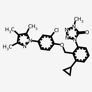 Cc1nn(-c2ccc(OCc3c(C4CC4)cccc3-n3nnn(C)c3=O)c(Cl)c2)c(C)c1C